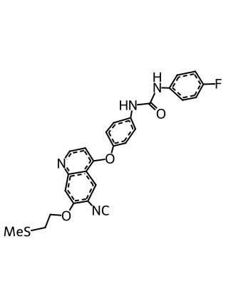 [C-]#[N+]c1cc2c(Oc3ccc(NC(=O)Nc4ccc(F)cc4)cc3)ccnc2cc1OCCSC